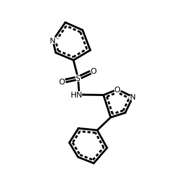 O=S(=O)(Nc1oncc1-c1ccccc1)c1cccnc1